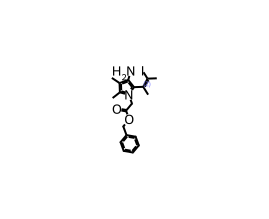 C/C(I)=C(\C)c1c(N)c(C)c(C)n1CC(=O)OCc1ccccc1